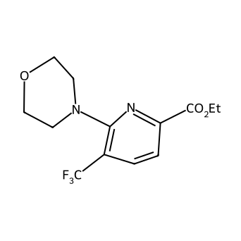 CCOC(=O)c1ccc(C(F)(F)F)c(N2CCOCC2)n1